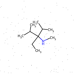 CCC(NC)(C(C)C)C(C)C